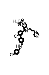 CS(=O)(=O)N1CCc2c(c(-c3ccc(Cl)c(-c4ccc(CNCc5ccc(Cl)cc5)cc4)c3)nn2CCCN2CCSCC2)C1